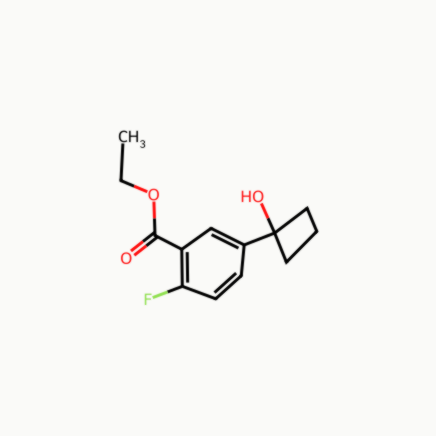 CCOC(=O)c1cc(C2(O)CCC2)ccc1F